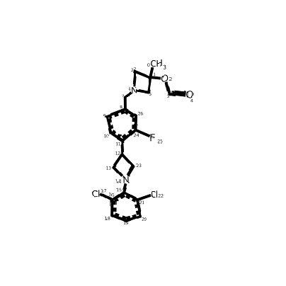 CC1(OC=O)CN(Cc2ccc(C3CN(c4c(Cl)cccc4Cl)C3)c(F)c2)C1